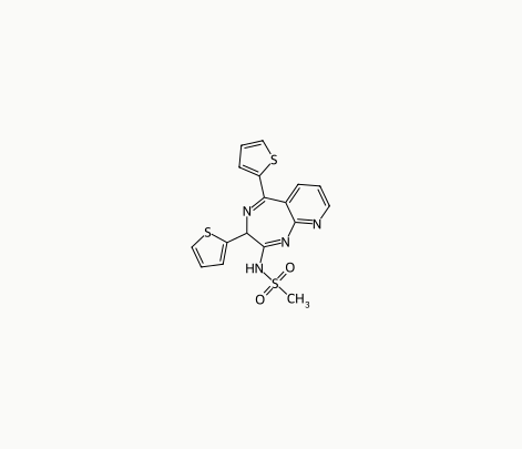 CS(=O)(=O)NC1=Nc2ncccc2C(c2cccs2)=NC1c1cccs1